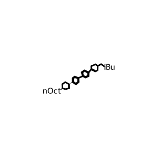 CCCCCCCC[C@H]1CC[C@H](c2ccc(-c3ccc(C4=CCC(CC(C)CC)CC4)cc3)cc2)CC1